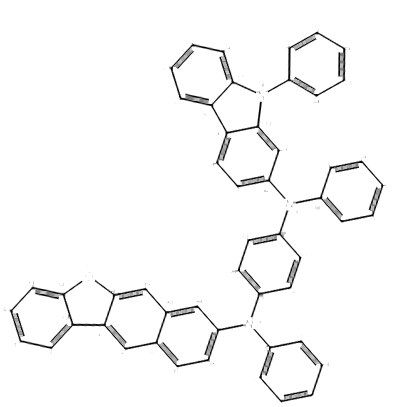 c1ccc(N(c2ccc(N(c3ccccc3)c3ccc4c5ccccc5n(-c5ccccc5)c4c3)cc2)c2ccc3cc4c(cc3c2)oc2ccccc24)cc1